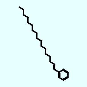 CCCCCCCCCCCCCCCC=Cc1[c]cccc1